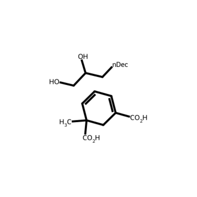 CC1(C(=O)O)C=CC=C(C(=O)O)C1.CCCCCCCCCCCC(O)CO